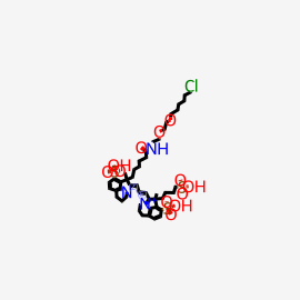 CC1(CCCCS(=O)(=O)O)C(/C=C/C=C2\N3CCCc4ccc(S(=O)(=O)O)c(c43)C2(C)CCCCCC(=O)NCCOCCOCCCCCCCl)=[N+]2CCCc3ccc(S(=O)(=O)O)c1c32